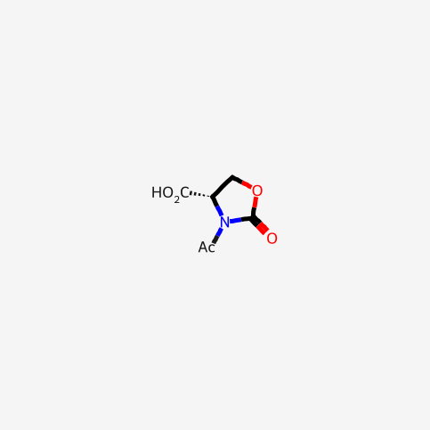 CC(=O)N1C(=O)OC[C@H]1C(=O)O